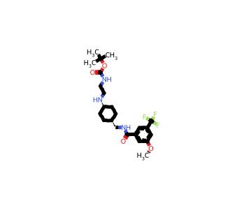 COc1cc(C(=O)NC[C@H]2CC[C@@H](NCCNC(=O)OC(C)(C)C)CC2)cc(C(F)(F)F)c1